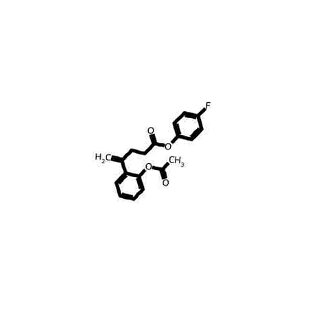 C=C(CCC(=O)Oc1ccc(F)cc1)c1ccccc1OC(C)=O